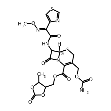 CON=C(C(=O)NC1C(=O)N2C(C(=O)OCC3OC(=O)OC3C)=C(COC(N)=O)CS[C@@H]12)c1cscn1